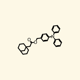 O=C(CC12CCCC(CCC1)C2)OCc1ccc(N(c2ccccc2)c2ccccc2)cc1